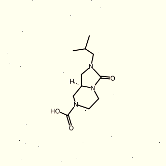 CC(C)CN1C[C@@H]2CN(C(=O)O)CCN2C1=O